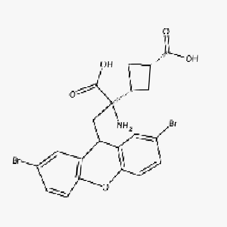 NC(CC1c2cc(Br)ccc2Oc2ccc(Br)cc21)(C(=O)O)[C@H]1C[C@@H](C(=O)O)C1